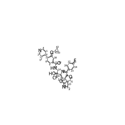 Cc1cnccc1-c1ccc(C(=O)NCC(O)(c2cc3c(c(-c4ccc(F)cc4)n2)OC[C@]3(C)C(N)=O)C(F)(F)F)cc1OC1CC1